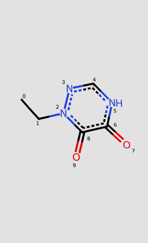 CCn1n[c][nH]c(=O)c1=O